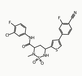 CN1C(C(=O)Nc2ccc(F)c(Cl)c2)CC(c2cc(-c3ccc(C#N)c(F)c3)cs2)NS1(=O)=O